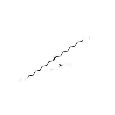 CC(=O)O.CCCCCCCCC=CCCCCCCCC